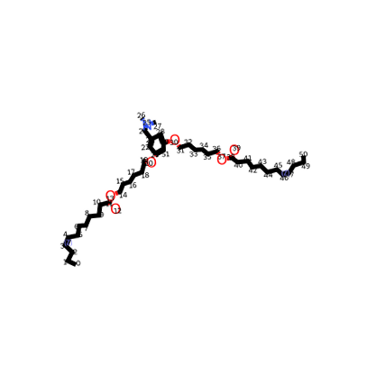 CCC/C=C\CCCCCCC(=O)OCCCCCCOc1cc(CN(C)C)cc(OCCCCCCOC(=O)CCCCCC/C=C\CCC)c1